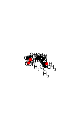 Cc1[nH]c2nc(=O)c([C@@H]3O[C@H](COP(=O)(O)OP(=O)(O)OP(=O)(O)O)[C@H](O)C3O)cc-2c(C)c1C